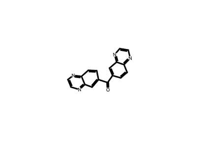 O=C(c1ccc2nccnc2c1)c1ccc2nccnc2c1